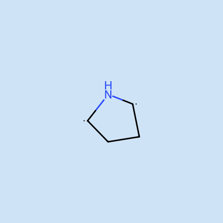 [CH]1CC[CH]N1